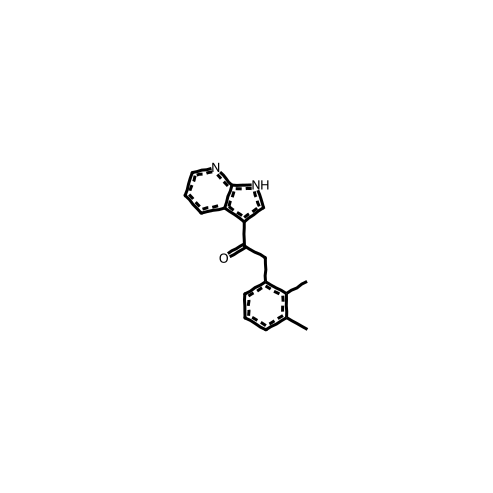 Cc1cccc(CC(=O)c2c[nH]c3ncccc23)c1C